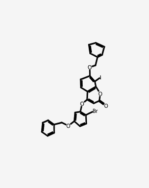 O=c1cc(Oc2cc(OCc3ccccc3)ccc2Br)c2ccc(OCc3ccccc3)c(I)c2o1